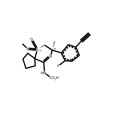 C#Cc1ccc(F)c([C@]2(C)C[S@@](=O)(=NC)C3(CCCC3)C(NC(=O)O)=N2)c1